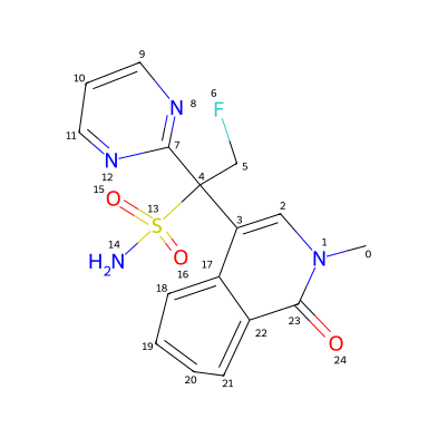 Cn1cc(C(CF)(c2ncccn2)S(N)(=O)=O)c2ccccc2c1=O